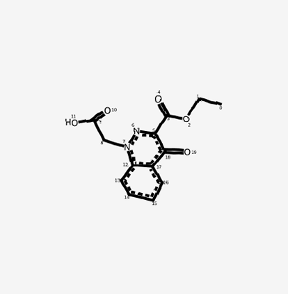 CCOC(=O)c1nn(CC(=O)O)c2ccccc2c1=O